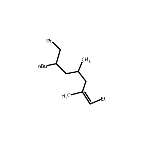 CCC=C(C)CC(C)CC(CCCC)CC(C)C